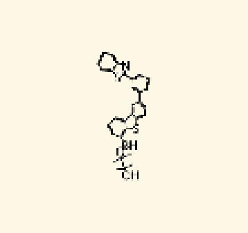 CC(C)(O)C(C)(C)OBc1cccc2c1sc1ccc(-c3cccc(-c4nc5ccccc5s4)c3)cc12